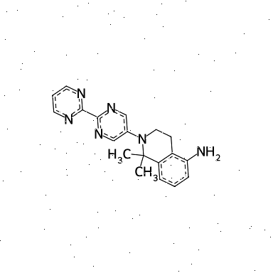 CC1(C)c2cccc(N)c2CCN1c1cnc(-c2ncccn2)nc1